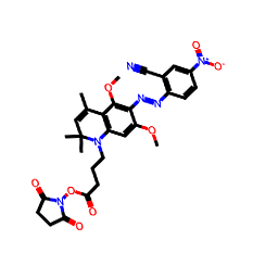 COc1cc2c(c(OC)c1/N=N/c1ccc([N+](=O)[O-])cc1C#N)C(C)=CC(C)(C)N2CCCC(=O)ON1C(=O)CCC1=O